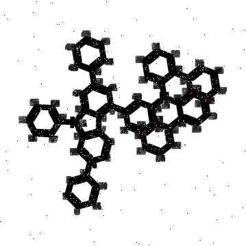 c1ccc(-c2ccc3c4c(-c5cccc(N(c6ccccc6-c6ccccc6)c6ccccc6-c6ccccc6)c5)cc(-c5ccccc5)cc4n(-c4ccccc4)c3c2)cc1